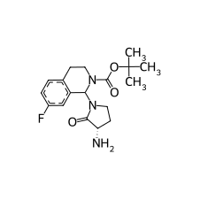 CC(C)(C)OC(=O)N1CCc2ccc(F)cc2C1N1CC[C@H](N)C1=O